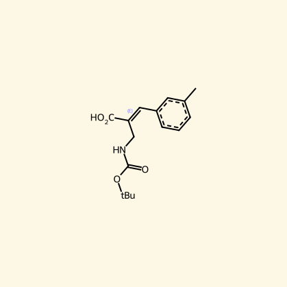 Cc1cccc(/C=C(\CNC(=O)OC(C)(C)C)C(=O)O)c1